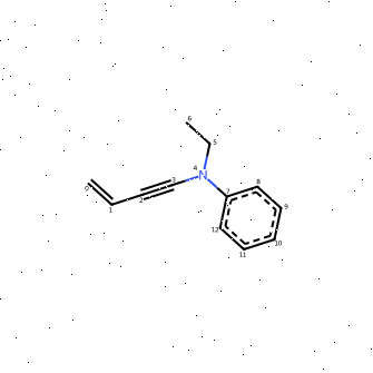 C=CC#CN(CC)c1ccccc1